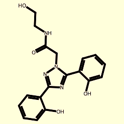 O=C(Cn1nc(-c2ccccc2O)nc1-c1ccccc1O)NCCO